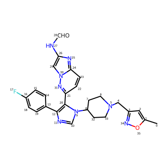 Cc1cc(CN2CCC(n3cnc(-c4ccc(F)cc4)c3-c3ccc4nc(NC=O)cn4n3)CC2)no1